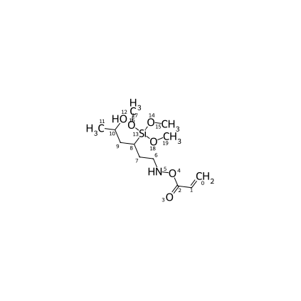 C=CC(=O)ONCCC(CC(C)O)[Si](OC)(OC)OC